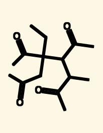 CCC(CC(C)=O)(C(C)=O)C(C(C)=O)C(C)C(C)=O